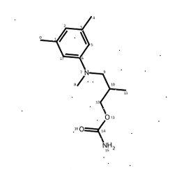 Cc1cc(C)cc(N(C)CC(C)COC(N)=O)c1